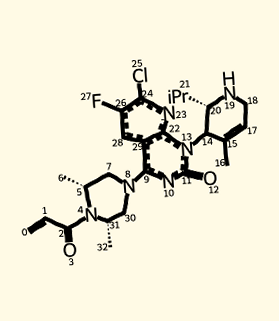 C=CC(=O)N1[C@H](C)CN(c2nc(=O)n(C3C(C)=CCN[C@H]3C(C)C)c3nc(Cl)c(F)cc23)C[C@@H]1C